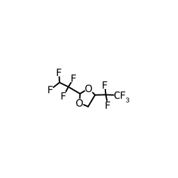 FC(F)C(F)(F)C1OCC(C(F)(F)C(F)(F)F)O1